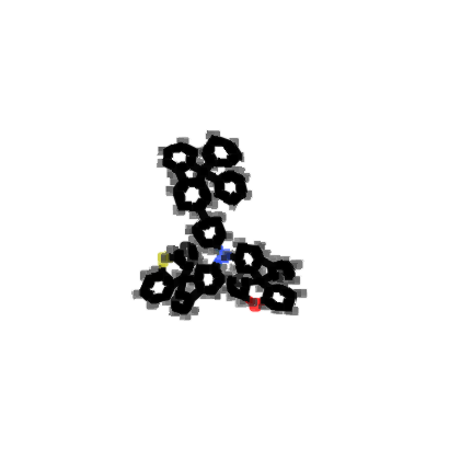 c1ccc(C2(c3ccccc3)c3ccccc3-c3ccc(-c4ccc(N(c5ccc6c(c5)C5(c7ccccc7Oc7ccccc75)c5ccccc5-6)c5ccc6c(c5)C5(c7ccccc7Sc7ccccc75)c5ccccc5-6)cc4)cc32)cc1